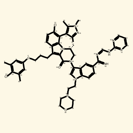 Cc1cc(OCCCc2c3n(c4c(-c5c(C)nn(C)c5C)c(Cl)ccc24)[C@H](C)CN(c2cn(CCN4CCOCC4)c4ccc(C(=N)/N=C\Nc5ncccn5)cc24)C3=O)cc(C)c1Cl